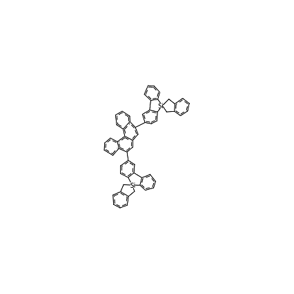 c1ccc2c(c1)C[Si]1(C2)c2ccccc2-c2cc(-c3cc4cc(-c5ccc6c(c5)-c5ccccc5[Si]65Cc6ccccc6C5)c5ccccc5c4c4ccccc34)ccc21